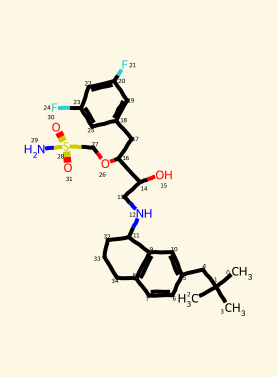 CC(C)(C)Cc1ccc2c(c1)C(NCC(O)C(Cc1cc(F)cc(F)c1)OCS(N)(=O)=O)CCC2